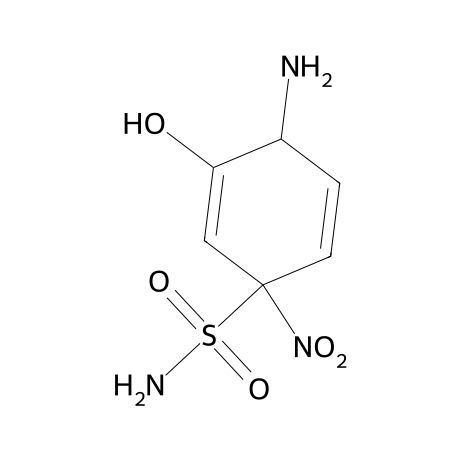 NC1C=CC([N+](=O)[O-])(S(N)(=O)=O)C=C1O